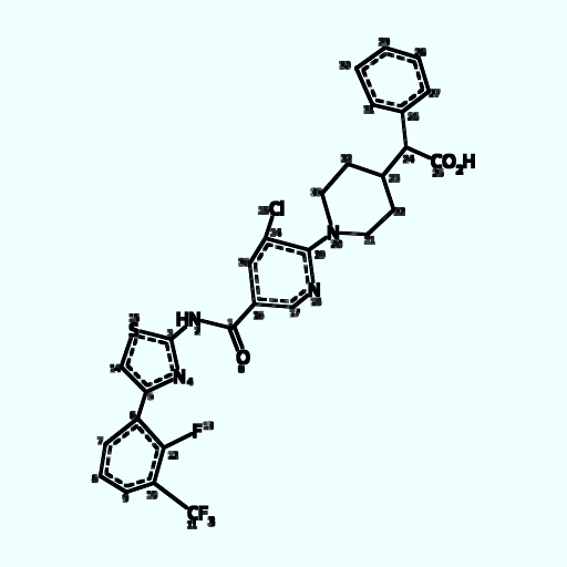 O=C(Nc1nc(-c2cccc(C(F)(F)F)c2F)cs1)c1cnc(N2CCC(C(C(=O)O)c3ccccc3)CC2)c(Cl)c1